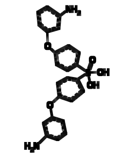 Nc1cccc(Oc2ccc(S(=O)(O)(O)c3ccc(Oc4cccc(N)c4)cc3)cc2)c1